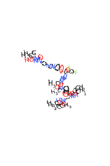 CC[C@@H]([C@H](C)O)n1ncn(-c2ccc(N3CCN(c4ccc(OC[C@@H]5CO[C@@](Cn6c[n+](C(C)OC(=O)N(C)c7ccccc7COC(=O)[C@H](CCCNC(=O)OC(C)(C)C)NC(=O)OC(C)(C)C)cn6)(c6ccc(F)cc6F)C5)cc4)CC3)cc2)c1=O